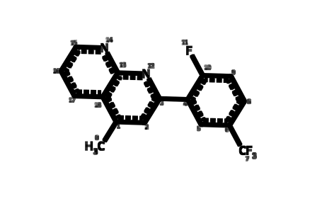 Cc1cc(-c2cc(C(F)(F)F)ccc2F)nc2ncccc12